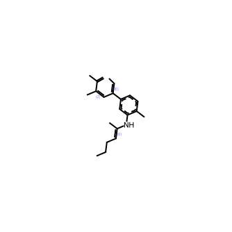 C=C(C)/C(C)=C\C(=C/C)c1ccc(C)c(N/C(C)=C/CCC)c1